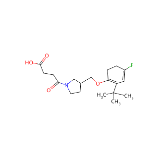 CC(C)(C)C1=C(OCC2CCN(C(=O)CCC(=O)O)C2)CCC(F)=C1